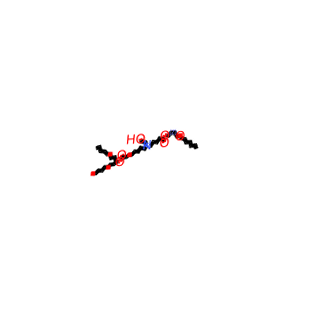 CCCCCCCCC(CCCCCCCC)OC(=O)CCCCCCCN(CCO)CCCCC(=O)OC/C=C\COCCCCCCC